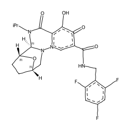 CC(C)N1C(=O)c2c(O)c(=O)c(C(=O)NCc3c(F)cc(F)cc3F)cn2N2C[C@@H]3CC[C@@H](O3)[C@@H]12